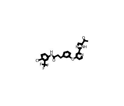 CC(=O)c1cnc(-c2cc(Oc3cccc(CCC(=O)Nc4ccc(Cl)c(C(F)(F)F)c4)c3)ccn2)[nH]1